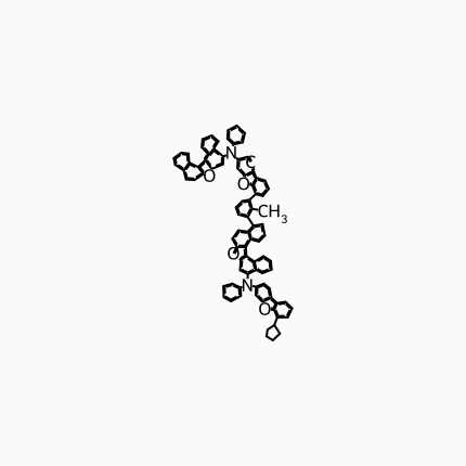 Cc1c(-c2cccc3c2ccc2oc4cc(N(c5ccccc5)c5ccc6c(c5)oc5c(C7CCCC7)cccc56)c5ccccc5c4c23)cccc1-c1cccc2c1oc1cc(N(c3ccccc3)c3cc4oc5ccc6ccccc6c5c4c4ccccc34)ccc12